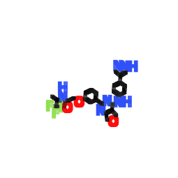 CC(NC(=O)COc1cccc(-c2nc3c(c(Nc4ccc(-c5cn[nH]c5)cc4)n2)COC3)c1)C(F)(F)F